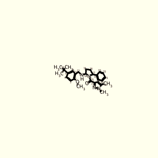 COc1ccc(C(C)(C)C)cc1CNC1CCC(c2ccccc2)N1C(=O)c1cc(C)n(C)n1